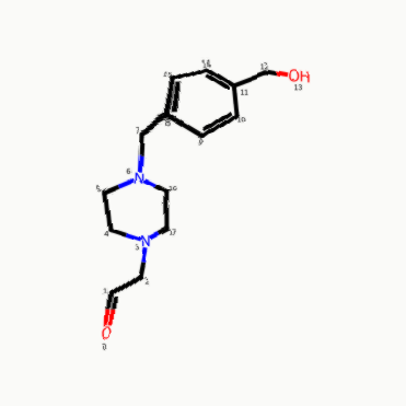 O=CCN1CCN(Cc2ccc(CO)cc2)CC1